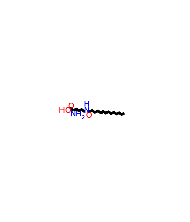 CCCCCCCCC=CCCCC(=O)NCCCCC(N)C(=O)O